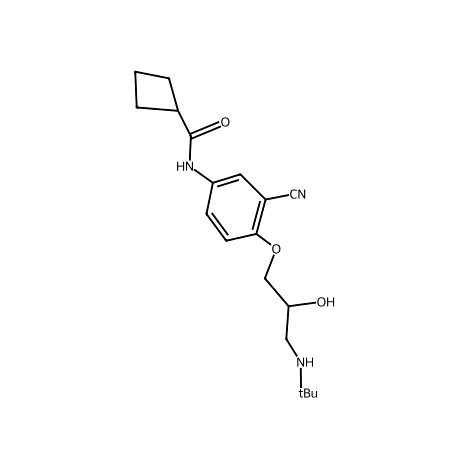 CC(C)(C)NCC(O)COc1ccc(NC(=O)C2CCC2)cc1C#N